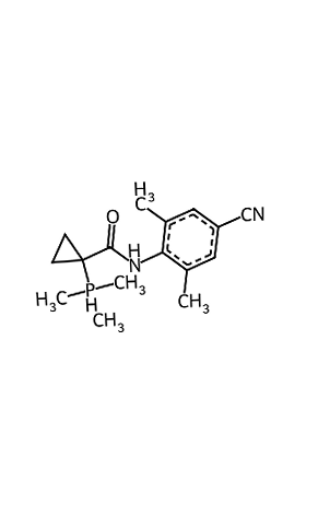 Cc1cc(C#N)cc(C)c1NC(=O)C1([PH](C)(C)C)CC1